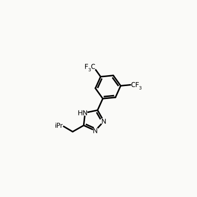 CC(C)Cc1nnc(-c2cc(C(F)(F)F)cc(C(F)(F)F)c2)[nH]1